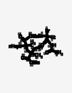 CCC(Br)(CC)C(=O)NC(N)=O.CCCCCCCC(C)(CC(C)(CC(C)C)C(=O)OC)C(=O)OC